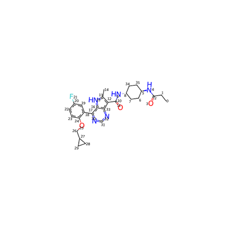 CCC(=O)N[C@H]1CC[C@H](NC(=O)c2c(C)[nH]c3c(-c4cc(F)ccc4OCC4CC4)ncnc23)CC1